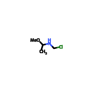 COC(C)NCCl